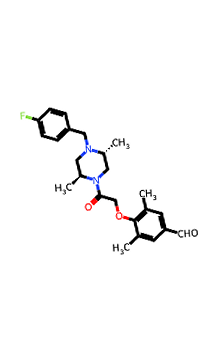 Cc1cc(C=O)cc(C)c1OCC(=O)N1C[C@@H](C)N(Cc2ccc(F)cc2)C[C@@H]1C